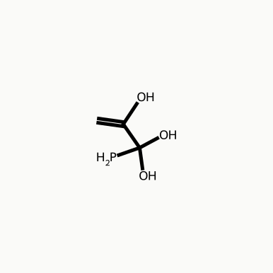 C=C(O)C(O)(O)P